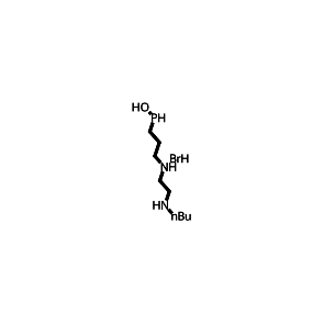 Br.CCCCNCCNCCCPO